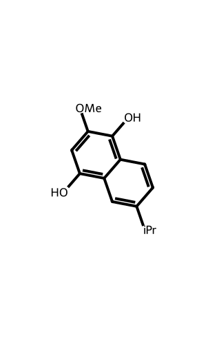 COc1cc(O)c2cc(C(C)C)ccc2c1O